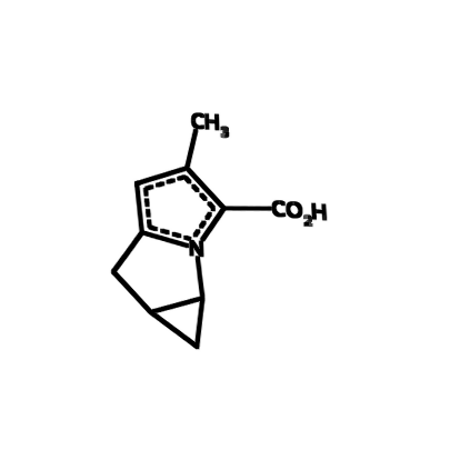 Cc1cc2n(c1C(=O)O)C1CC1C2